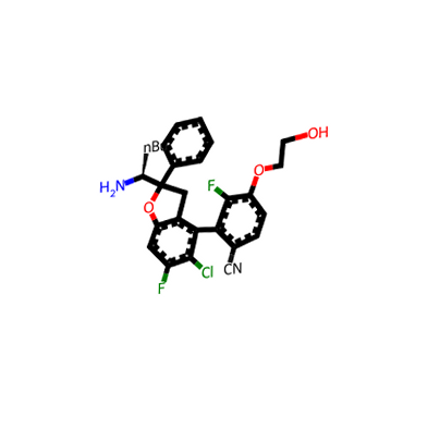 CCCC[C@H](N)C1(c2ccccc2)Cc2c(cc(F)c(Cl)c2-c2c(C#N)ccc(OCCO)c2F)O1